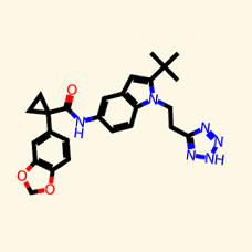 CC(C)(C)c1cc2cc(NC(=O)C3(c4ccc5c(c4)OCO5)CC3)ccc2n1CCc1nn[nH]n1